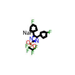 O=S(=O)(C1=NC(c2ccc(F)cc2)C(c2ccc(F)cc2)=N1)C(F)(F)C(F)F.[NaH]